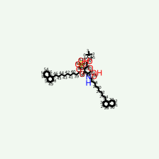 CC(C)(C)[Si](C)(C)OC[C@H]1OC(O)[C@H](NC(=O)CCCCCCCCc2cccc3ccccc23)[C@@H](OC(=O)CCCCCCCCc2cccc3ccccc23)[C@@H]1OS(=O)(=O)O